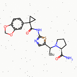 CC(C)(C)C(c1cnc(NC(=O)C2(c3ccc4c(c3)OCO4)CC2)s1)N1CCC[C@H]1C(N)=O